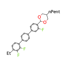 CCCCCC1COC(c2ccc(-c3ccc(-c4ccc(CC)c(F)c4F)cc3)cc2F)OC1